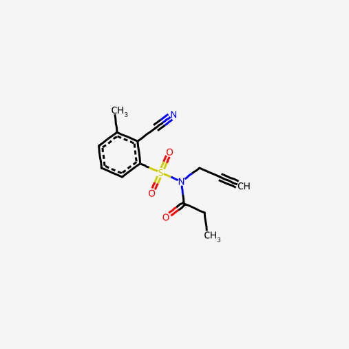 C#CCN(C(=O)CC)S(=O)(=O)c1cccc(C)c1C#N